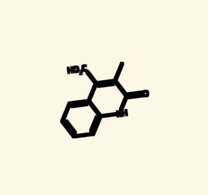 Cc1c(C(=O)O)c2ccccc2[nH]c1=O